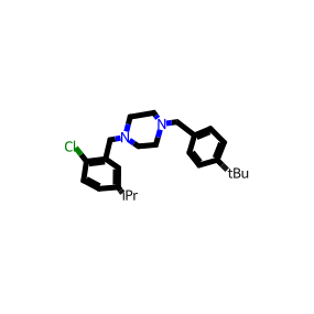 CC(C)c1ccc(Cl)c(CN2CCN(Cc3ccc(C(C)(C)C)cc3)CC2)c1